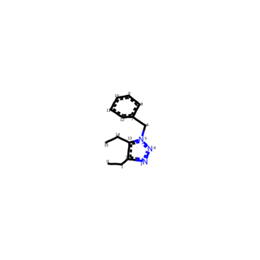 CCc1nnn(Cc2ccccc2)c1CC